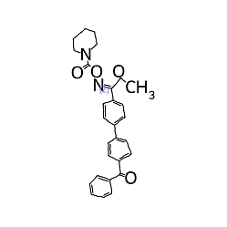 CC(=O)/C(=N\OC(=O)N1CCCCC1)c1ccc(-c2ccc(C(=O)c3ccccc3)cc2)cc1